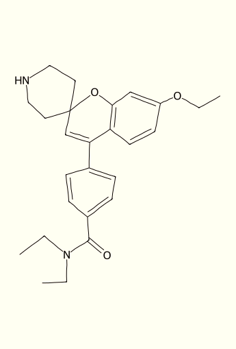 CCOc1ccc2c(c1)OC1(C=C2c2ccc(C(=O)N(CC)CC)cc2)CCNCC1